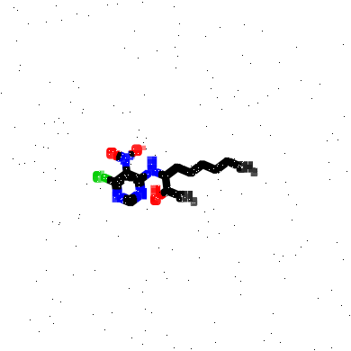 CCCCCCC(Nc1ncnc(Cl)c1[N+](=O)[O-])C(C)O